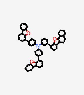 c1cc(-c2cccc3c2oc2c4ccccc4ccc32)cc(N(c2ccc(-c3cccc4c3oc3ccccc34)cc2)c2ccc(-c3cccc4c3oc3ccccc34)cc2)c1